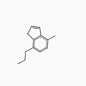 CCCc1ccc(C)c2c1[CH]C=C2